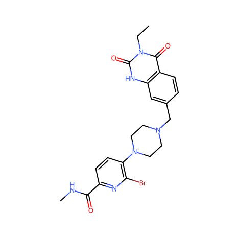 CCn1c(=O)[nH]c2cc(CN3CCN(c4ccc(C(=O)NC)nc4Br)CC3)ccc2c1=O